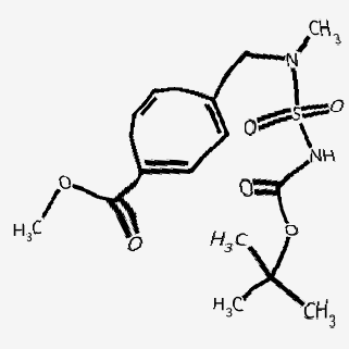 COC(=O)c1ccc(CN(C)S(=O)(=O)NC(=O)OC(C)(C)C)cc1